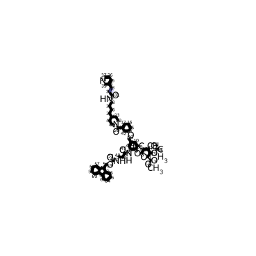 COC(=O)[C@H]1O[C@@H](Oc2ccc(COc3cccc(C(=O)N4CCC(CCCCNC(=O)/C=C/c5cccnc5)CC4)c3)cc2NC(=O)CCNC(=O)OCC2c3ccccc3-c3ccccc32)[C@H](C)[C@@H](C)[C@@H]1OC(C)=O